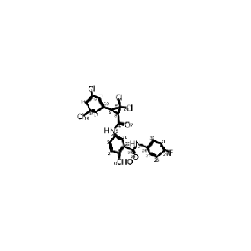 O=Cc1ccc(NC(=O)C2C(c3cc(Cl)cc(Cl)c3)C2(Cl)Cl)cc1C(=O)Nc1ccc(F)cc1